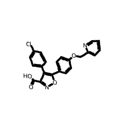 O=C(O)c1noc(-c2ccc(OCc3ccccn3)cc2)c1-c1ccc(Cl)cc1